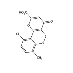 Cc1ccc(Cl)c2c1SCc1c-2oc(C(=O)O)cc1=O